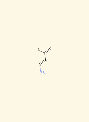 C=C(C)C=CN